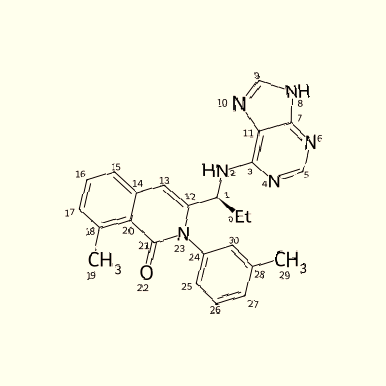 CC[C@H](Nc1ncnc2[nH]cnc12)c1cc2cccc(C)c2c(=O)n1-c1cccc(C)c1